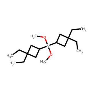 CCC1(CC)CC([Si](OC)(OC)C2CC(CC)(CC)C2)C1